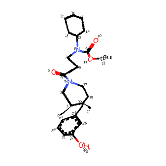 C[C@H]1CN(C(=O)CCN(C(=O)OC(C)(C)C)C2CCCCC2)CC[C@]1(C)c1cccc(O)c1